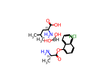 CC(C)C[C@H](N)C(=O)O.C[C@H](N)C(=O)Oc1cccc2ccccc12.Cl.OBO